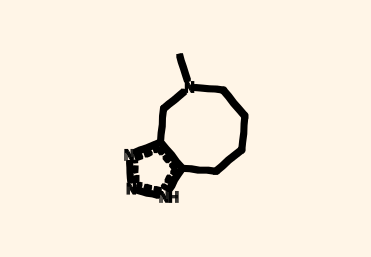 CN1CCCCc2[nH]nnc2C1